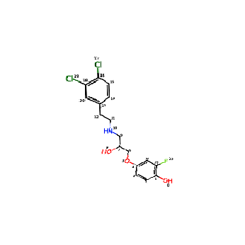 Oc1ccc(OCC(O)CNCCc2ccc(Cl)c(Cl)c2)cc1F